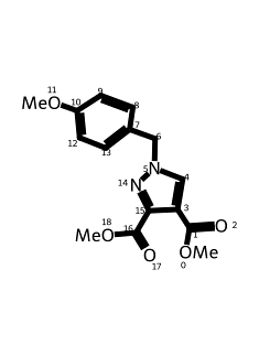 COC(=O)c1cn(Cc2ccc(OC)cc2)nc1C(=O)OC